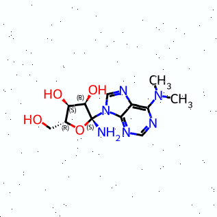 CN(C)c1ncnc2c1ncn2[C@]1(N)O[C@H](CO)[C@@H](O)[C@H]1O